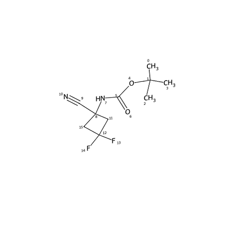 CC(C)(C)OC(=O)NC1(C#N)CC(F)(F)C1